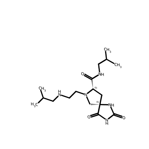 CC(C)CNCCN1C[C@]2(C[C@H]1C(=O)NCC(C)C)NC(=O)NC2=O